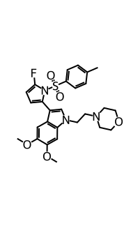 COc1cc2c(-c3ccc(F)n3S(=O)(=O)c3ccc(C)cc3)cn(CCN3CCOCC3)c2cc1OC